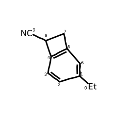 CCc1ccc2c(c1)CC2C#N